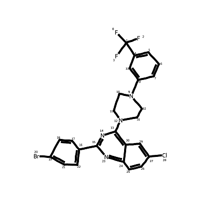 FC(F)(F)c1cccc(N2CCN(c3nc(-c4ccc(Br)cc4)nc4ccc(Cl)cc34)CC2)c1